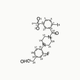 CS(=O)(=O)c1ccc(I)c(C(=O)N2CCN(c3ccc(CC=O)cc3F)CC2)c1